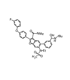 CCN(c1cc2oc(-c3ccc(Oc4cccc(F)c4)cc3)c(C(=O)NC)c2cc1-c1cccc(C(O)NC(C)(C)C)c1)S(C)(=O)=O